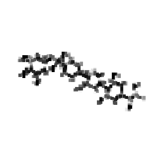 C/C(F)=C(\F)c1cc(F)c(-c2ccc(-c3ccc(C(F)(F)Oc4cc(F)c(F)c(F)c4)cc3)c(F)c2)c(F)c1